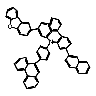 c1ccc(-c2ccc(-c3ccc4ccccc4c3)cc2N(c2ccc(-c3cc4ccccc4c4ccccc34)cc2)c2cccc(-c3ccc4oc5ccccc5c4c3)c2)cc1